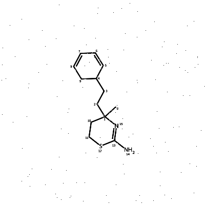 CC1(CCC2C=CC=CC2)CCSC(N)=N1